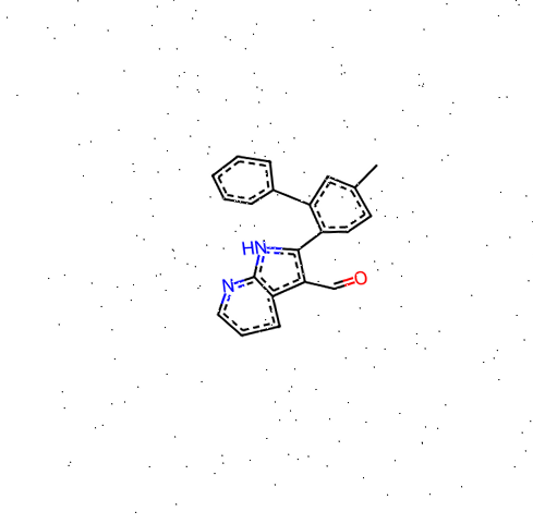 Cc1ccc(-c2[nH]c3ncccc3c2C=O)c(-c2ccccc2)c1